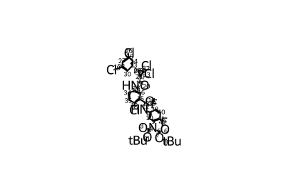 CC(C)(C)OC(=O)N(C(=O)OC(C)(C)C)c1cc(NC(=O)c2cc(NC(=O)[C@H]3[C@H](c4cc(Cl)cc(Cl)c4)C3(Cl)Cl)ccc2Cl)c(F)cc1F